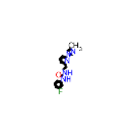 Cc1cn(-c2cccc(CCNC(=O)Nc3cccc(F)c3)n2)cn1